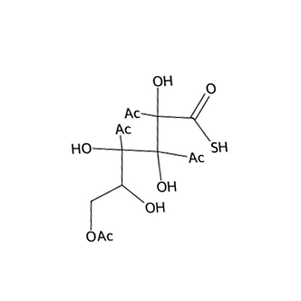 CC(=O)OCC(O)C(O)(C(C)=O)C(O)(C(C)=O)C(O)(C(C)=O)C(=O)S